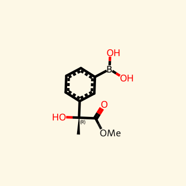 COC(=O)[C@](C)(O)c1cccc(B(O)O)c1